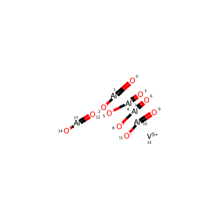 [O]=[Al][O-].[O]=[Al][O-].[O]=[Al][O-].[O]=[Al][O-].[O]=[Al][O-].[V+5]